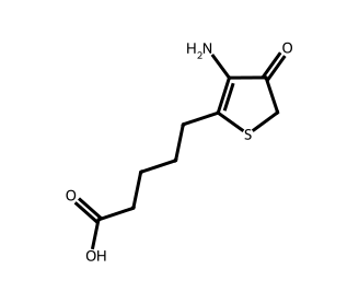 NC1=C(CCCCC(=O)O)SCC1=O